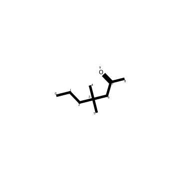 CCCC(C)(C)CC(C)=O